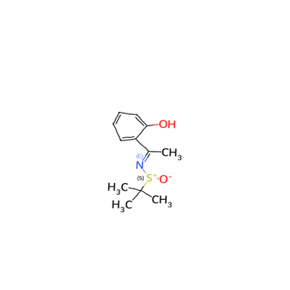 C/C(=N\[S@+]([O-])C(C)(C)C)c1ccccc1O